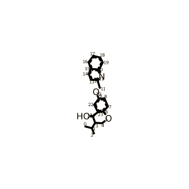 CC(C)C1COc2ccc(OCc3ccc4ccccc4n3)cc2C1O